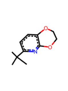 CC(C)(C)c1ccc2c(n1)OCCO2